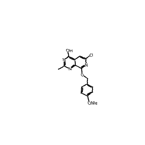 COc1ccc(COc2nc(Cl)cc3c(O)nc(C)nc23)cc1